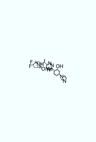 C=C(c1cnc(-c2ccc(-n3ccnc3)cc2O)nn1)C1C[C@@]2(C)NC(CC2(F)F)[C@@H]1OC